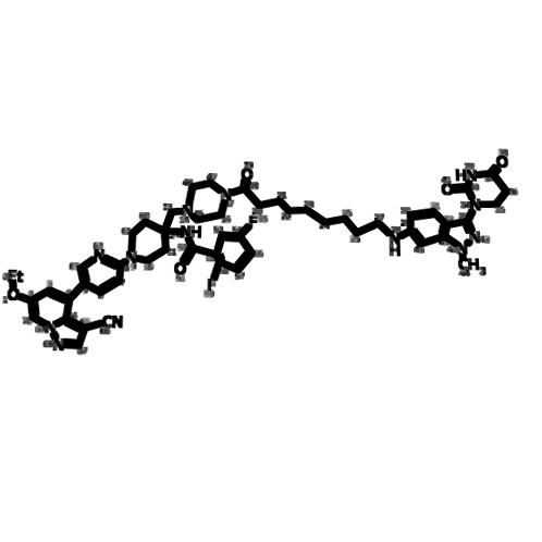 CCOc1cc(-c2ccc(N3CCC(CN4CCN(C(=O)CCCCCCCCNc5ccc6c(N7CCC(=O)NC7=O)nn(C)c6c5)CC4)(NC(=O)c4cc(F)ccc4F)CC3)nc2)c2c(C#N)cnn2c1